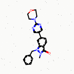 Cn1c(=O)c2ccc(-c3cnc(N4CCOCC4)nc3)cc2n1Cc1ccccc1